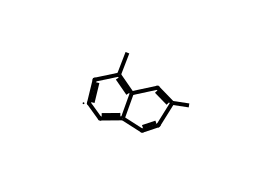 Cc1ccc2c[c]cc(C)c2c1